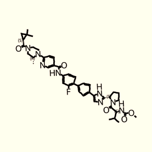 COC(=O)N[C@H](C(=O)N1CCC[C@H]1c1ncc(-c2ccc(-c3ccc(NC(=O)c4ccc(N5CCN(C(=O)[C@H]6CC6(C)C)C[C@H]5C)nc4)cc3F)cc2)[nH]1)C(C)C